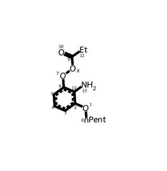 CCCCCOc1cccc(OOC(=O)CC)c1N